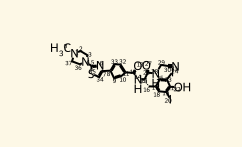 CN1CCN(c2nc(-c3ccc(C(=O)N[C@@H](Cc4cc(I)c(O)c(I)c4)C(=O)NCC#N)cc3)cs2)CC1